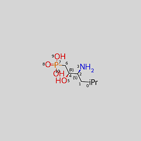 CC(C)C[C@H](N)[C@@H](O)CP(=O)(O)O